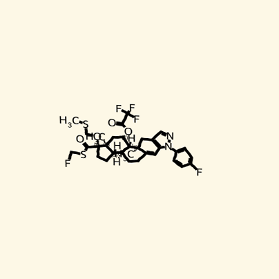 CSCO[C@]1(C(=O)SCF)CC[C@H]2[C@@H]3CCC4=Cc5c(cnn5-c5ccc(F)cc5)C[C@]4(C)[C@H]3[C@@H](OC(=O)C(F)(F)F)C[C@@]21C